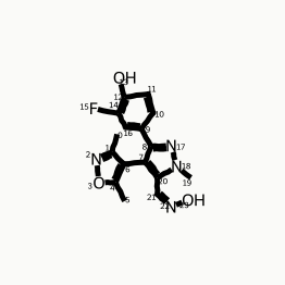 Cc1noc(C)c1-c1c(-c2ccc(O)c(F)c2)nn(C)c1/C=N\O